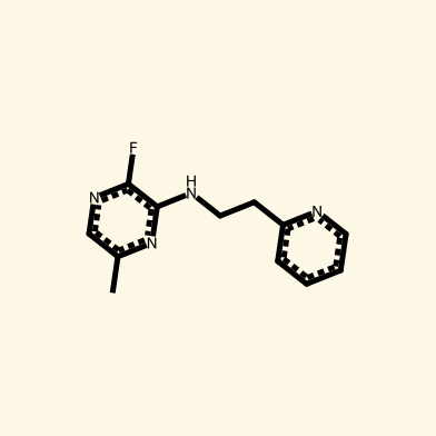 Cc1cnc(F)c(NCCc2ccccn2)n1